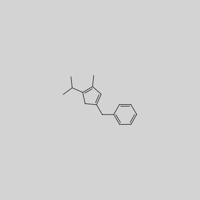 CC1=C(C(C)C)CC(Cc2ccccc2)=C1